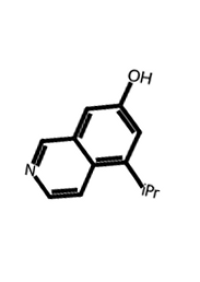 CC(C)c1cc(O)cc2cnccc12